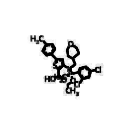 C=P(OCC)(c1ccc(Cl)cc1Cl)N(CC1CCOCC1)c1cc(-c2ccc(C)cc2)sc1C(=O)O